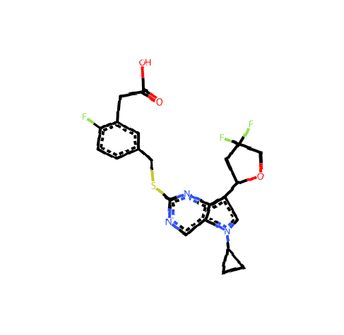 O=C(O)Cc1cc(CSc2ncc3c(n2)c(C2CC(F)(F)CO2)cn3C2CC2)ccc1F